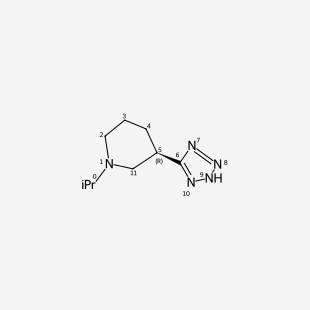 CC(C)N1CCC[C@@H](c2nn[nH]n2)C1